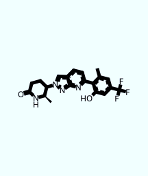 Cc1cc(C(F)(F)F)cc(O)c1-c1ccc2cn(C3CCC(=O)N[C@@H]3C)nc2n1